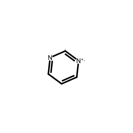 [C]1=[N+]C=CC=N1